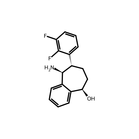 N[C@@H]1c2ccccc2[C@H](O)CC[C@H]1c1cccc(F)c1F